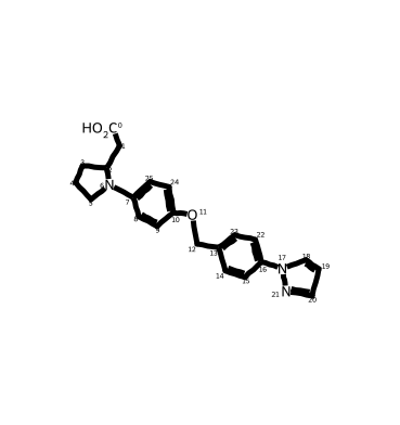 O=C(O)CC1CCCN1c1ccc(OCc2ccc(-n3cccn3)cc2)cc1